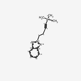 C[Si](C)(C)C#CCCn1nc2ccccc2n1